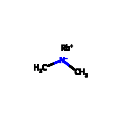 C[N-]C.[Rb+]